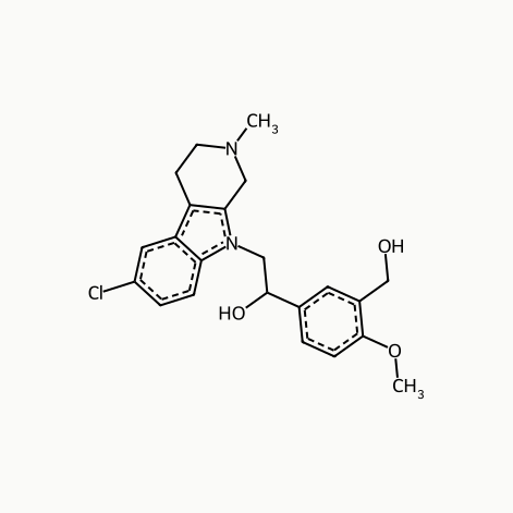 COc1ccc(C(O)Cn2c3c(c4cc(Cl)ccc42)CCN(C)C3)cc1CO